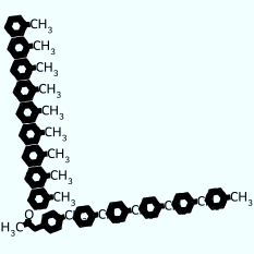 CC(=O)Cc1ccc(C)cc1.Cc1ccccc1.Cc1ccccc1.Cc1ccccc1.Cc1ccccc1.Cc1ccccc1.Cc1ccccc1.Cc1ccccc1.Cc1ccccc1.Cc1ccccc1.Cc1ccccc1.Cc1ccccc1.Cc1ccccc1.Cc1ccccc1.Cc1ccccc1